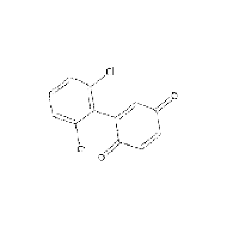 O=C1C=CC(=O)C(c2c(Cl)cccc2Cl)=C1